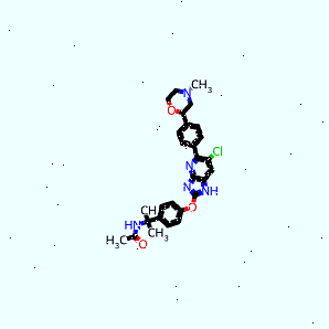 CC(=O)NC(C)(C)c1ccc(Oc2nc3nc(-c4ccc(C5CN(C)CCO5)cc4)c(Cl)cc3[nH]2)cc1